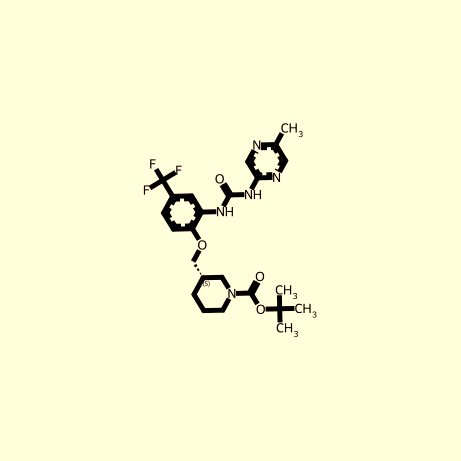 Cc1cnc(NC(=O)Nc2cc(C(F)(F)F)ccc2OC[C@H]2CCCN(C(=O)OC(C)(C)C)C2)cn1